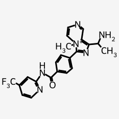 CC(N)C1=C2C=NC=C[N+]2(C)C(c2ccc(C(=O)Nc3cc(C(F)(F)F)ccn3)cc2)=N1